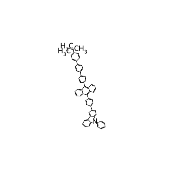 CC(C)(C)c1ccc(-c2ccc(-c3ccc(-c4c5ccccc5c(-c5ccc(-c6ccc7c(c6)c6ccccc6n7-c6ccccc6)cc5)c5ccccc45)cc3)cc2)cc1